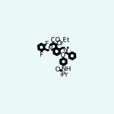 CCOC(=O)c1cn(Cc2c(F)cccc2F)c2ccc(Oc3ccc(NC(=O)C(C)C)cc3)c(CN(C)Cc3ccccc3)c2c1=O